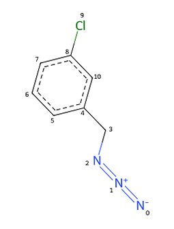 [N-]=[N+]=NCc1cccc(Cl)c1